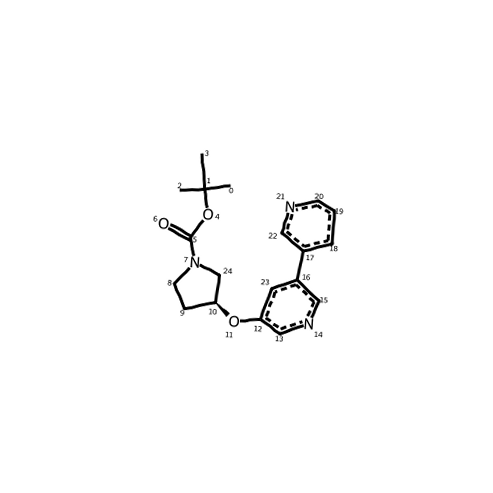 CC(C)(C)OC(=O)N1CC[C@H](Oc2cncc(-c3cccnc3)c2)C1